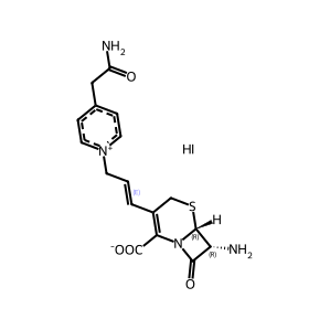 I.NC(=O)Cc1cc[n+](C/C=C/C2=C(C(=O)[O-])N3C(=O)[C@@H](N)[C@H]3SC2)cc1